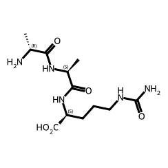 C[C@H](NC(=O)[C@@H](C)N)C(=O)N[C@@H](CCCNC(N)=O)C(=O)O